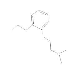 CC[CH]c1ccccc1OCCC(C)C